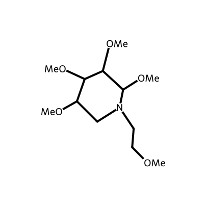 COCCN1CC(OC)C(OC)C(OC)C1OC